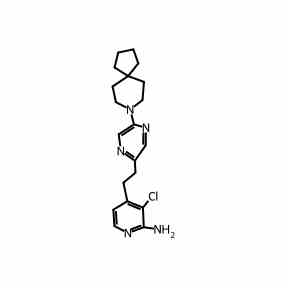 Nc1nccc(CCc2cnc(N3CCC4(CCCC4)CC3)cn2)c1Cl